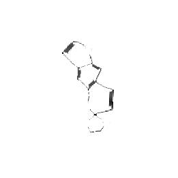 C1=CC2(OCCO2)Oc2cc3ccoc3cc21